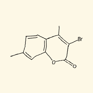 Cc1ccc2c(C)c(Br)c(=O)oc2c1